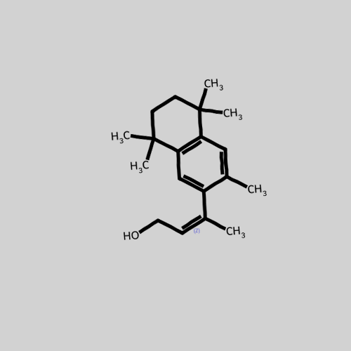 C/C(=C/CO)c1cc2c(cc1C)C(C)(C)CCC2(C)C